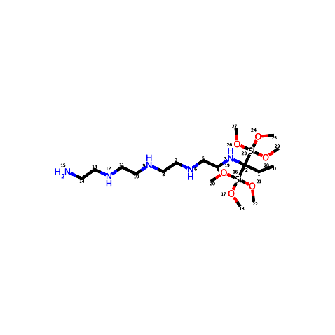 CCC(NCCNCCNCCNCCN)([Si](OC)(OC)OC)[Si](OC)(OC)OC